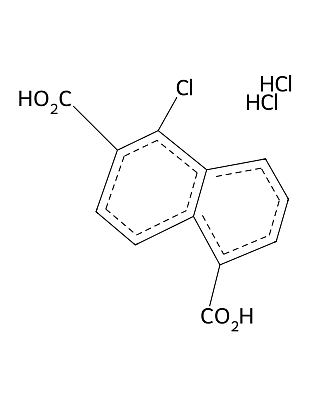 Cl.Cl.O=C(O)c1ccc2c(C(=O)O)cccc2c1Cl